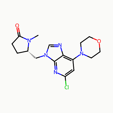 CN1C(=O)CC[C@H]1Cn1cnc2c(N3CCOCC3)cc(Cl)nc21